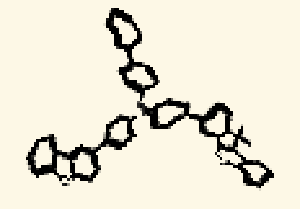 CC1(C)c2ccc(-c3ccc(N(c4ccc(-c5ccccc5)cc4)c4ccc(-c5ccc6oc7ccccc7c6c5)cc4)cc3)cc2-c2sc3ccccc3c21